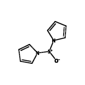 [O-][S+](n1cccc1)n1cccc1